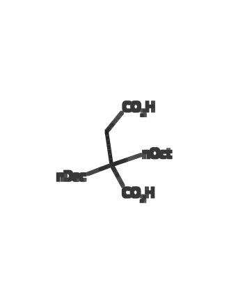 CCCCCCCCCCC(CCCCCCCC)(CC(=O)O)C(=O)O